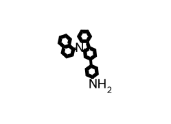 Nc1ccc(-c2ccc3c4ccccc4n(-c4cccc5ccccc45)c3c2)cc1